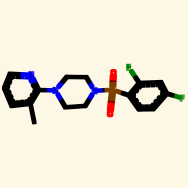 Cc1cccnc1N1CCN(S(=O)(=O)c2ccc(F)cc2F)CC1